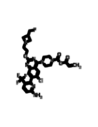 C=CC(=O)OC(=O)N1CCN(c2nc(OCCN3CC(CF)C3)nc3cc(-c4nc(N)ccc4C(F)(F)F)c(Cl)cc23)CC1